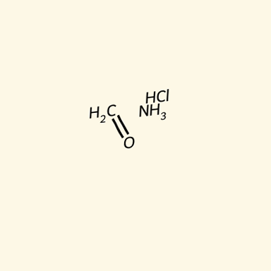 C=O.Cl.N